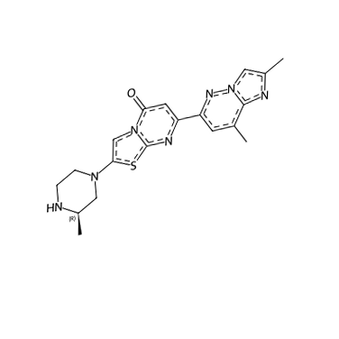 Cc1cn2nc(-c3cc(=O)n4cc(N5CCN[C@H](C)C5)sc4n3)cc(C)c2n1